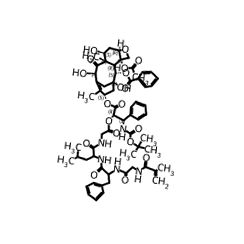 C=C(C)C(=O)NCC(=O)NC(Cc1ccccc1)C(=O)NC(CC(C)C)C(=O)NCC(=O)O[C@@H](C(=O)O[C@H]1C[C@]2(O)CC(=C1C)[C@@H](O)C(=O)[C@@]1(C)[C@H]([C@@H]2OC(=O)c2ccccc2)[C@]2(OC(C)=O)CO[C@@H]2C[C@@H]1O)[C@@H](NC(=O)OC(C)(C)C)c1ccccc1